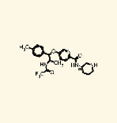 Cc1ccc(C(Oc2ccc(C(=O)N[C@H]3CCCNC3)nc2)C(C)NC(=O)C(F)(F)F)cc1